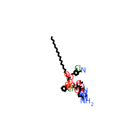 CCCCCCCCCCCCCCCCCCOC[C@H](COP(=O)(OC[C@H]1O[C@@](C#N)(c2ccc3c(N)ncnn23)[C@@H]2OC(C)(C)O[C@@H]21)Oc1ccccc1Cl)OCc1ccc(C#N)c(Cl)c1